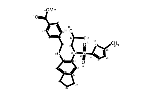 COC(=O)c1ccc(COc2cc3c(cc2N(CC(C)F)S(=O)(=O)c2ccc(C)o2)CCC3)cc1